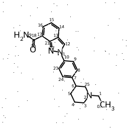 CCN1CCCC(c2ccc(-n3cc4cccc(C(N)=O)c4n3)cc2)C1